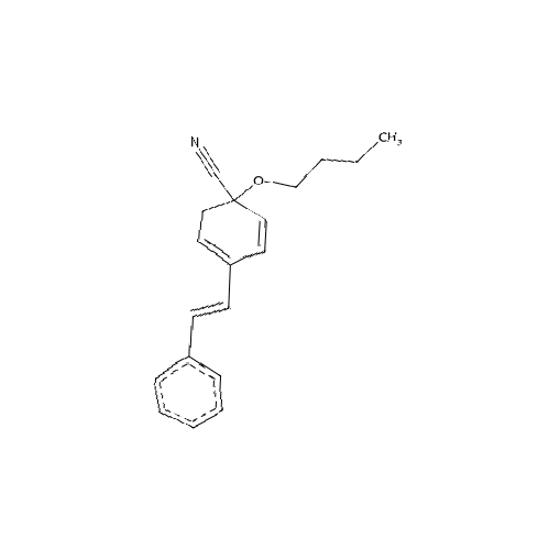 CCCCOC1(C#N)C=CC(C=Cc2ccccc2)=CC1